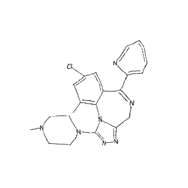 Cc1cc(Cl)cc2c1-n1c(nnc1N1CCN(C)CC1)CN=C2c1ccccn1